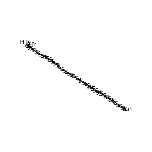 CCCP(P)S(=S)(=S)SSSSSSSSSSSSSSSSSSSSSSSSSSSSSSSSSSSSSSSSSSSSSSSSSSSSSSSSSSSSSSSSSSSSSSSSSSSSSSSSS